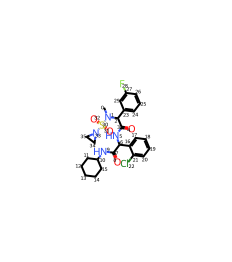 CN(C(C(=O)NC(C(=O)NC1CCCCC1)c1ccccc1Cl)c1cccc(F)c1)S(=O)(=O)N1CC1